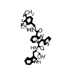 C=Nc1ccc(CNC(=O)c2cccn3c(C(=O)N[C@H](CO)Cc4c[nH]c5ccccc45)c(-c4ccsc4)nc23)cc1SC